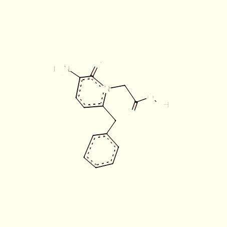 COC(=O)Cn1c(Cc2ccccc2)ccc(N)c1=O